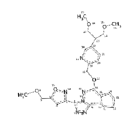 COCc1cc(-c2nnc3c4ccccc4c(OCc4ccc(C(COC)COC)cn4)nn23)no1